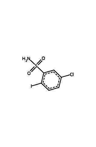 NS(=O)(=O)c1cc(Cl)ccc1I